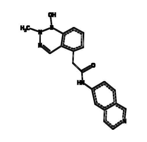 CN1N=Cc2c(CC(=O)Nc3ccc4cnccc4c3)cccc2B1O